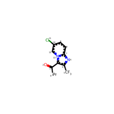 CC(C)C(=O)c1c(C(F)(F)F)nc2ccc(Cl)cn12